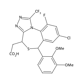 COc1cccc(C2SC(CC(=O)O)c3nnc(C(F)(F)F)n3-c3c(F)cc(Cl)cc32)c1OC